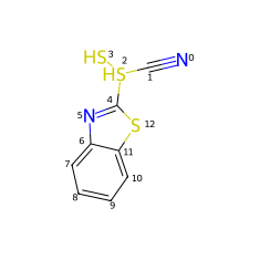 N#C[SH](S)c1nc2ccccc2s1